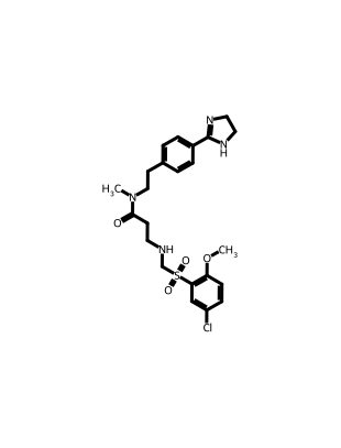 COc1ccc(Cl)cc1S(=O)(=O)CNCCC(=O)N(C)CCc1ccc(C2=NCCN2)cc1